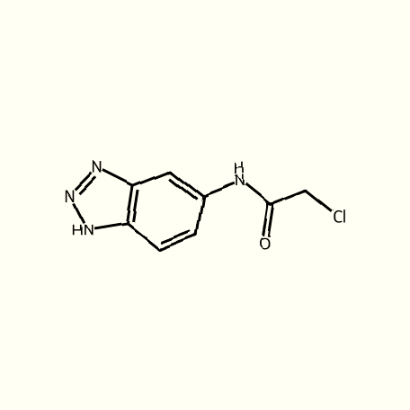 O=C(CCl)Nc1ccc2[nH]nnc2c1